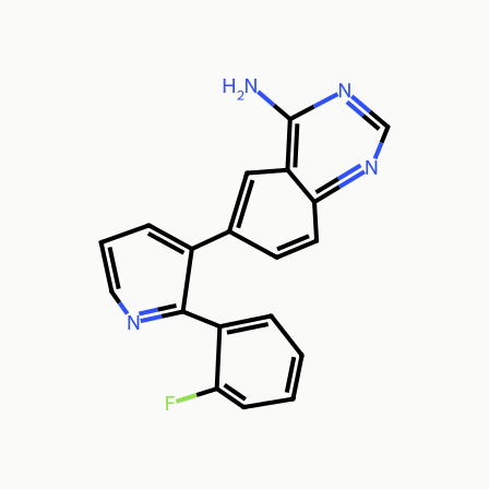 Nc1ncnc2ccc(-c3cccnc3-c3ccccc3F)cc12